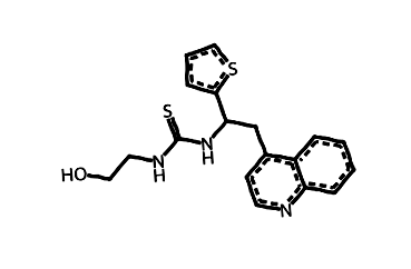 OCCNC(=S)NC(Cc1ccnc2ccccc12)c1cccs1